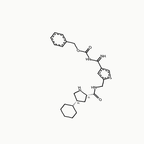 N=C(NC(=O)OCc1ccccc1)c1csc(CNC(=O)[C@@H]2C[C@H](C3CCCCC3)CN2)c1